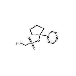 CCS(=O)(=O)OC1(c2ccccc2)CCCC1